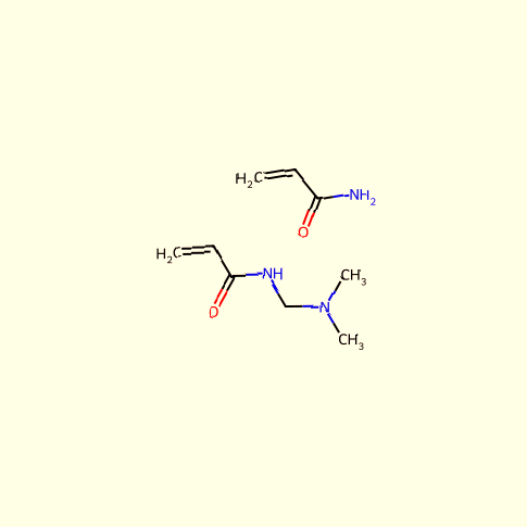 C=CC(=O)NCN(C)C.C=CC(N)=O